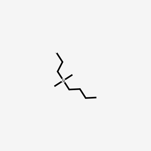 [CH2]CC[Si](C)(C)CCCC